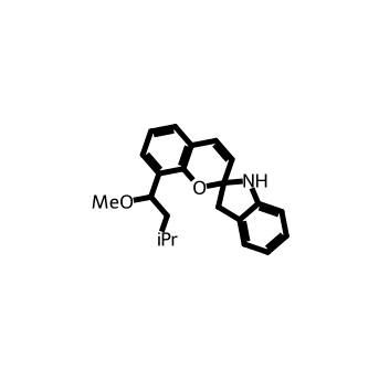 COC(CC(C)C)c1cccc2c1OC1(C=C2)Cc2ccccc2N1